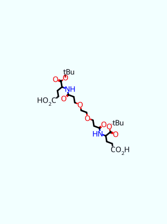 CC(C)(C)OC(=O)C(CCC(=O)O)NC(=O)CCOCCOCCC(=O)NC(CCC(=O)O)C(=O)OC(C)(C)C